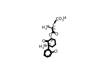 N[C@@H](CCC(=O)O)C(=O)O[C@@H]1CCC[C@@](N)(c2ccccc2Cl)C1=O